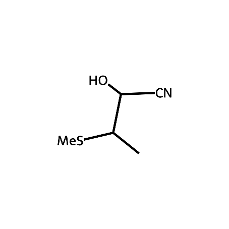 CSC(C)C(O)C#N